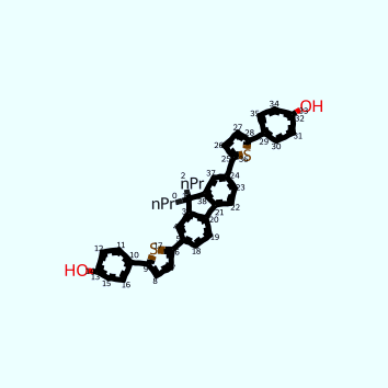 CCCC1(CCC)c2cc(-c3ccc(-c4ccc(O)cc4)s3)ccc2-c2ccc(-c3ccc(-c4ccc(O)cc4)s3)cc21